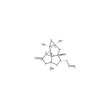 C=CC[C@@H]1C[C@@]2(O)CC(=O)O[C@@]23C[C@H]2C[C@H]2C[C@H]13